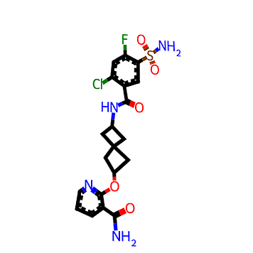 NC(=O)c1cccnc1OC1CC2(CC(NC(=O)c3cc(S(N)(=O)=O)c(F)cc3Cl)C2)C1